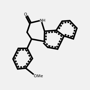 COc1cccc(C2CC(=O)Nc3c2ccc2ccccc32)c1